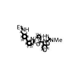 CCNCc1ccc(-c2cccn3cc([C@@H]4CCCN4C(=O)[C@@H](NC(=O)[C@H](C)NC)C4CCOCC4)nc23)cc1